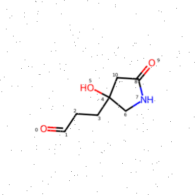 O=CCCC1(O)CNC(=O)C1